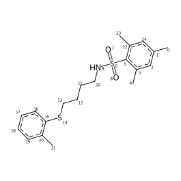 Cc1cc(C)c(S(=O)(=O)NCCCCSc2ccccc2C)c(C)c1